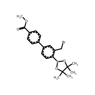 COC(=O)c1ccc(-c2ccc(B3OC(C)(C)C(C)(C)O3)c(CBr)c2)cc1